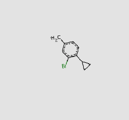 [CH2]c1ccc(C2CC2)c(Br)c1